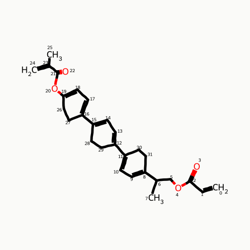 C=CC(=O)OCC(C)C1=CC=C(C2=CC=C(C3=CC=C(OC(=O)C(=C)C)CC3)CC2)CC1